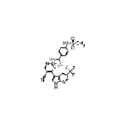 C[C@@H](Nc1ncc(C#N)c(-c2c[nH]c3ncc(C(F)(F)F)cc23)n1)c1ccc(NS(C)(=O)=O)cc1